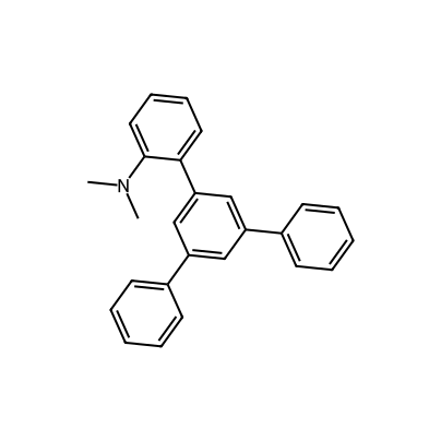 CN(C)c1ccccc1-c1cc(-c2ccccc2)cc(-c2ccccc2)c1